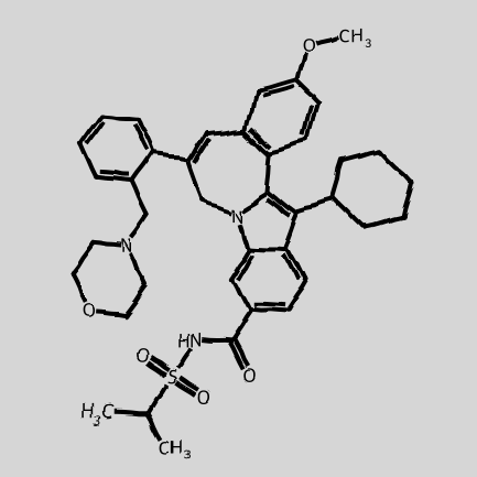 COc1ccc2c(c1)C=C(c1ccccc1CN1CCOCC1)Cn1c-2c(C2CCCCC2)c2ccc(C(=O)NS(=O)(=O)C(C)C)cc21